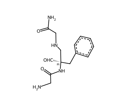 NCC(=O)N[C@@](C=O)(CNCC(N)=O)Cc1ccccc1